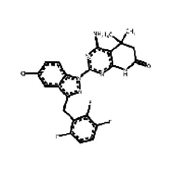 CC1(C)CC(=O)Nc2nc(-n3nc(Cc4c(F)ccc(F)c4F)c4cc(Cl)ccc43)nc(N)c21